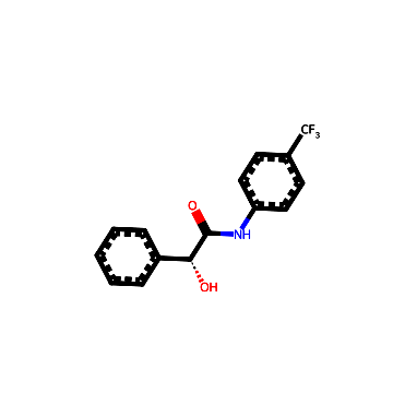 O=C(Nc1ccc(C(F)(F)F)cc1)[C@H](O)c1ccccc1